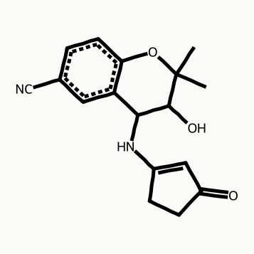 CC1(C)Oc2ccc(C#N)cc2C(NC2=CC(=O)CC2)C1O